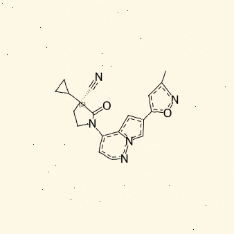 Cc1cc(-c2cc3c(N4CC[C@@](C#N)(C5CC5)C4=O)ccnn3c2)on1